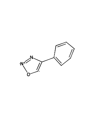 [C]1=C(c2ccccc2)N=[N+]O1